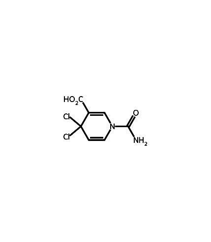 NC(=O)N1C=CC(Cl)(Cl)C(C(=O)O)=C1